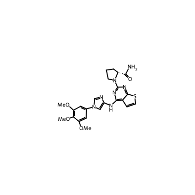 COc1cc(-n2cnc(Nc3nc(N4CCC[C@@H]4C(N)=O)nc4sccc34)c2)cc(OC)c1OC